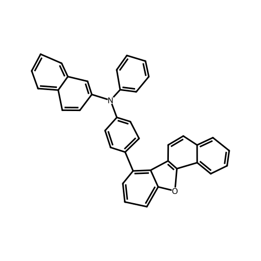 c1ccc(N(c2ccc(-c3cccc4oc5c6ccccc6ccc5c34)cc2)c2ccc3ccccc3c2)cc1